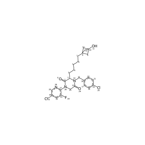 O=C1C(CCCCCC23CC(O)(C2)C3)N(Cc2ccc(Cl)cc2)C(=O)CN1c1ncc(Cl)cc1F